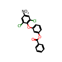 O=C(Oc1cccc(Oc2c(Cl)cc([N+](=O)[O-])cc2Cl)c1)c1ccccc1